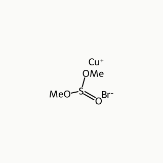 COS(=O)OC.[Br-].[Cu+]